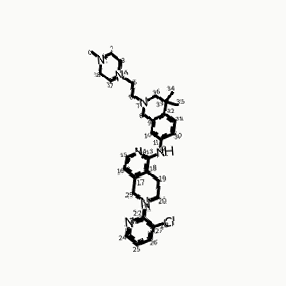 CN1CCN(CCN2Cc3cc(Nc4nccc5c4CCN(c4ncccc4Cl)C5)ccc3C(C)(C)C2)CC1